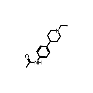 CCN1CCC(c2ccc(NC(C)=O)cc2)CC1